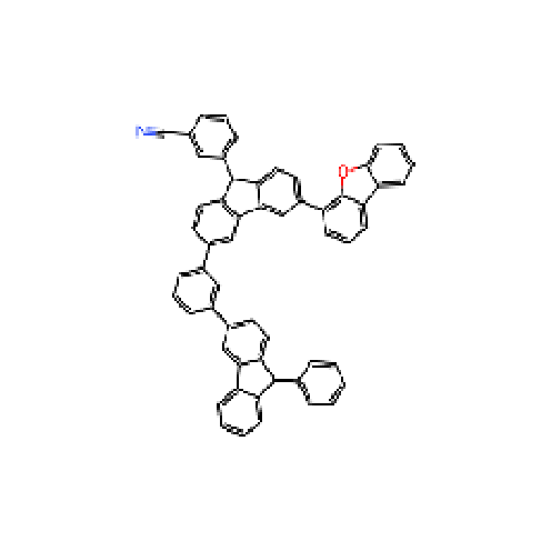 N#Cc1cccc(C2c3ccc(-c4cccc(-c5ccc6c(c5)-c5ccccc5C6c5ccccc5)c4)cc3-c3cc(-c4cccc5c4oc4ccccc45)ccc32)c1